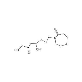 O=C(CO)CC(O)CCCN1CCCCCC1=O